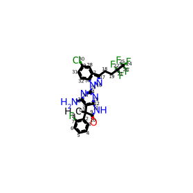 CC1(c2ccccc2F)C(=O)Nc2nc(-n3nc(CCC(F)(F)C(F)(F)F)c4cc(Cl)ccc43)nc(N)c21